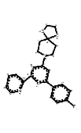 Fc1ccc(-c2cc(N3CCC4(CC3)OCCO4)nc(-c3ccccn3)n2)cc1